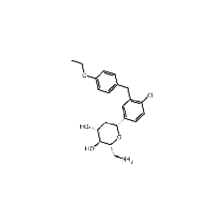 CCOc1ccc(Cc2cc([C@H]3C[C@@H](O)[C@H](O)[C@@H](CN)O3)ccc2Cl)cc1